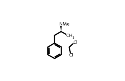 CN[C@@H](C)Cc1ccccc1.ClCCl